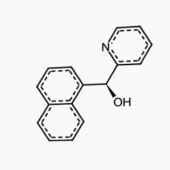 O[C@H](c1ccccn1)c1cccc2ccccc12